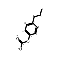 C[C]Cc1ccc(OC([O])=O)cc1